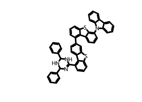 c1ccc(C2N=C(c3cccc4sc5cc(-c6cccc7sc8c(-n9c%10ccccc%10c%10ccccc%109)cccc8c67)ccc5c34)NC(c3ccccc3)N2)cc1